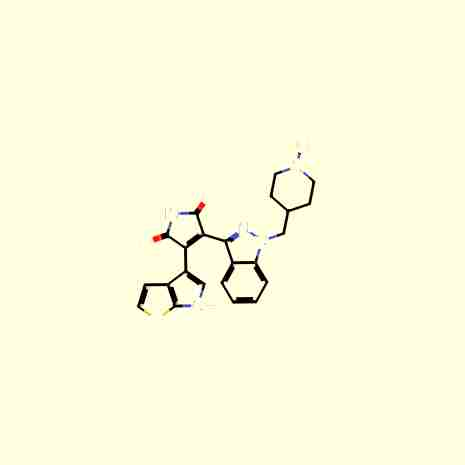 CN1CCC(Cn2nc(C3=C(c4c[nH]c5sccc45)C(=O)NC3=O)c3ccccc32)CC1